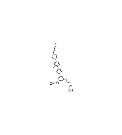 C=C(CO)CCOc1cc(OCCOC)cc(-c2ccc(-c3ccc(C4CCC(CCCCC)CC4)cc3C)cc2)c1